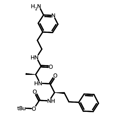 C[C@H](NC(=O)[C@@H](CCc1ccccc1)NC(=O)OC(C)(C)C)C(=O)NCCc1ccnc(N)c1